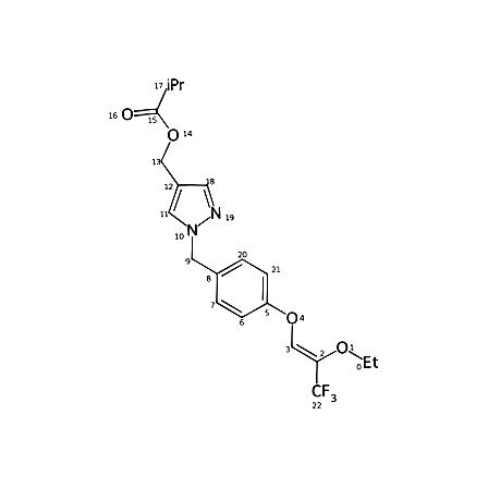 CCO/C(=C\Oc1ccc(Cn2cc(COC(=O)C(C)C)cn2)cc1)C(F)(F)F